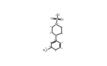 CCS(=O)(=O)N1CCN(C2=CC(C)CC=C2)CC1